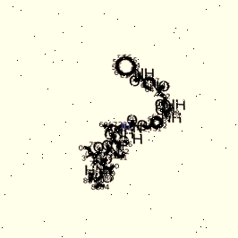 CC[C@H](C)[C@@H]([C@@H](CC(=O)N1CCC[C@H]1[C@H](OC)[C@@H](C)C(=O)N[C@H](/C=C/C(=O)NOCc1ccc(NC(=O)[C@@H](C)NC(=O)CCC(=O)N2CCC(C(=O)NC3CCCCCCCCC3)CC2)cc1)CC(C)C)OC)N(C)C(=O)[C@@H](NC(=O)[C@H](C(C)C)N(C)C)C(C)C